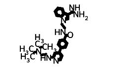 CC(C)N(CCNc1cc(-c2ccc(C(=O)NCCn3cc(C(=N)N)c4ccccc43)cc2)ccn1)C(C)C